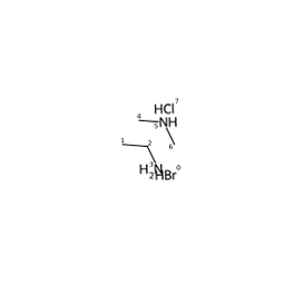 Br.CCN.CNC.Cl